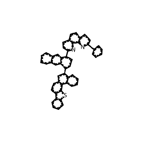 c1ccc(-c2ccc3ccc4ccc(-c5ccc(-c6cc7ccc8c9ccccc9sc8c7c7ccccc67)c6cc7ccccc7cc56)nc4c3n2)cc1